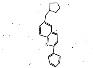 c1ccc(-c2ccc3cc(CC4CCCC4)ccc3n2)cc1